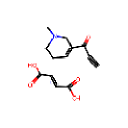 C#CC(=O)C1=CCCN(C)C1.O=C(O)/C=C/C(=O)O